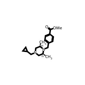 COC(=O)c1ccc(CN2[C@H](C)CN(CC3CC3)C[C@@H]2C)cc1